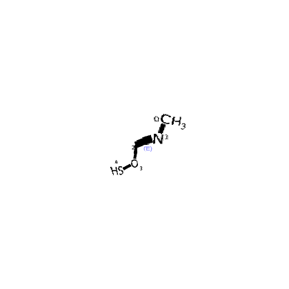 C/N=C/OS